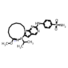 CO/C1=N/N(C(C)C)c2cc3cnc(Nc4ccc(S(N)(=O)=O)cc4)nc3n2CCCCCCC1